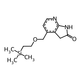 C[Si](C)(C)CCOCc1ccnc2c1CC(=O)N2